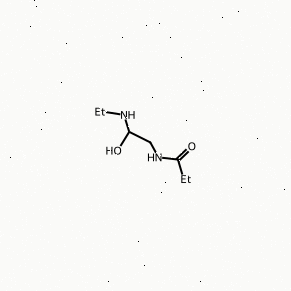 CCNC(O)CNC(=O)CC